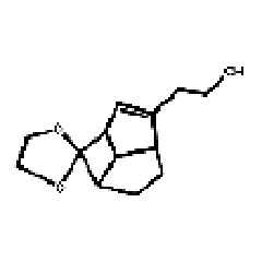 OCCC1=CC2C3C1CCC3C21OCCO1